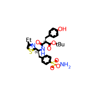 CCc1csc([C@H](Cc2ccc(S(=O)(=O)ON)cc2)NC(=O)[C@H](Cc2ccc(O)cc2)C(=O)OC(C)(C)C)n1